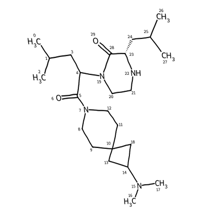 CC(C)CC(C(=O)N1CCC2(CC1)CC(N(C)C)C2)N1CCN[C@@H](CC(C)C)C1=O